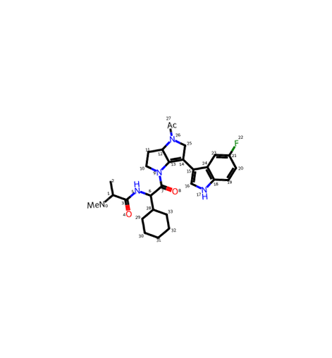 CNC(C)C(=O)NC(C(=O)N1CCC2C1=C(c1c[nH]c3ccc(F)cc13)CN2C(C)=O)C1CCCCC1